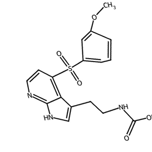 COc1cccc(S(=O)(=O)c2ccnc3[nH]cc(CCNC(=O)O)c23)c1